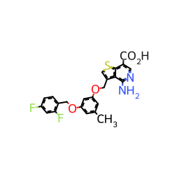 Cc1cc(OCc2ccc(F)cc2F)cc(OCc2csc3c(C(=O)O)cnc(N)c23)c1